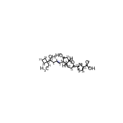 CCC1([C@@H](O)C/C=C/[C@@H]2[C@H]3CC[C@H](c4nc(C(=O)O)cs4)O[C@H]3C[C@H]2O)CCC1